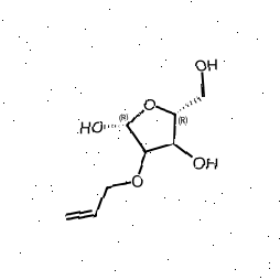 C=CCOC1C(O)[C@@H](CO)O[C@H]1O